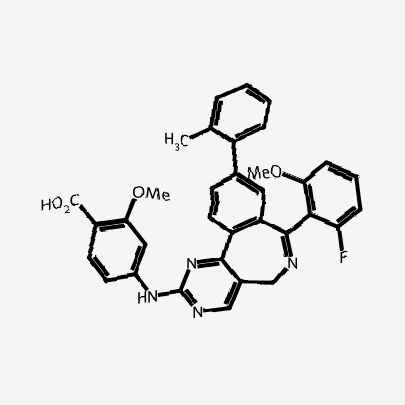 COc1cc(Nc2ncc3c(n2)-c2ccc(-c4ccccc4C)cc2C(c2c(F)cccc2OC)=NC3)ccc1C(=O)O